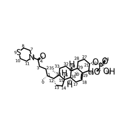 C[C@H](CCC(=O)N1CCSCC1)[C@H]1CC[C@H]2[C@@H]3CC=C4C[C@@H](OP(=O)(O)O)CC[C@]4(C)[C@H]3CC[C@]12C